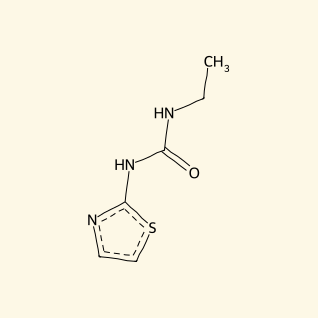 CCNC(=O)Nc1nccs1